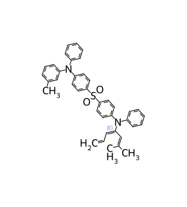 C=C/C=C(\C=C(C)C)N(c1ccccc1)c1ccc(S(=O)(=O)c2ccc(N(c3ccccc3)c3cccc(C)c3)cc2)cc1